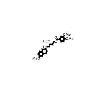 COc1ccc2c(c1)CCC(NCCCCOC(=O)c1ccc(OC)c(OC)c1)C2.Cl